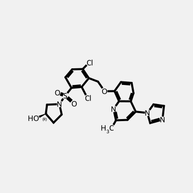 Cc1cc(-n2ccnc2)c2cccc(OCc3c(Cl)ccc(S(=O)(=O)N4CC[C@@H](O)C4)c3Cl)c2n1